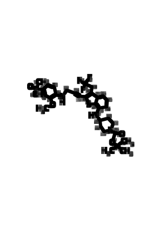 COc1cc(P(C)(C)=O)ccc1NCC#Cc1sc2c(NC3CCN(C(=O)OC(C)(C)C)CC3)cccc2c1CC(F)(F)F